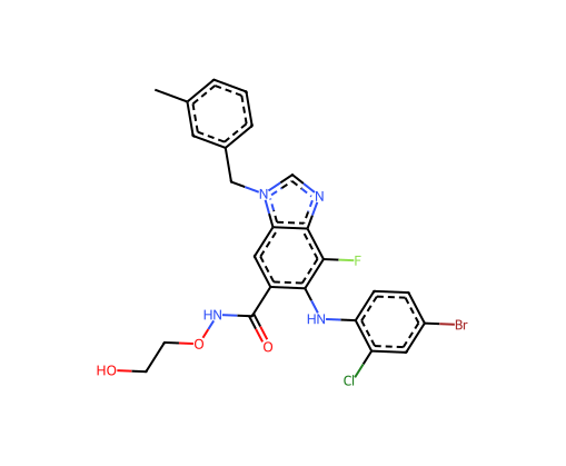 Cc1cccc(Cn2cnc3c(F)c(Nc4ccc(Br)cc4Cl)c(C(=O)NOCCO)cc32)c1